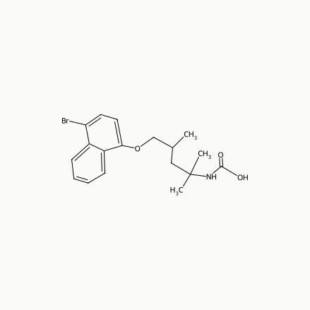 CC(COc1ccc(Br)c2ccccc12)CC(C)(C)NC(=O)O